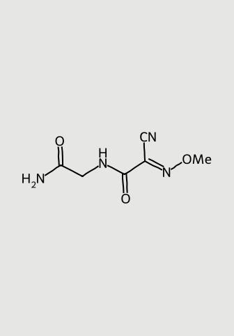 CO/N=C(\C#N)C(=O)NCC(N)=O